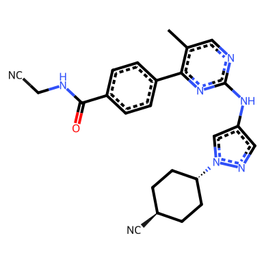 Cc1cnc(Nc2cnn([C@H]3CC[C@H](C#N)CC3)c2)nc1-c1ccc(C(=O)NCC#N)cc1